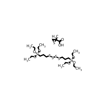 CC1(C(=O)O)CS1.CCO[Si](CCCSSSSCCC[Si](OCC)(OCC)OCC)(OCC)OCC